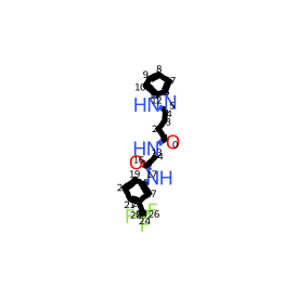 O=C(CCc1nc2ccccc2[nH]1)NCC(=O)Nc1cccc(C(F)(F)F)c1